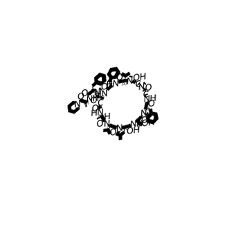 CC(C)C[C@H]1C(O)N[C@@H]([C@@H](C)O)C(=O)N(C)[C@@H](Cc2ccccc2)C(=O)NCC(=O)N(C)CC(O)N(C)[C@@H](C(C)C)C(=O)N[C@@H](CC2C=CC=CC2)C(=O)N[C@H](C(=O)N(C)[C@@H](Cc2ccccc2)C(=O)N[C@@H](C)C(=O)N2CCCCC2)CC(=O)N[C@H](C)C(=O)N[C@@H](C(C)C)C(=O)N1C